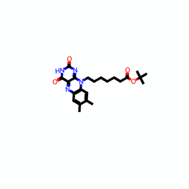 Cc1cc2nc3c(=O)[nH]c(=O)nc-3n(CCCCCCC(=O)OC(C)(C)C)c2cc1C